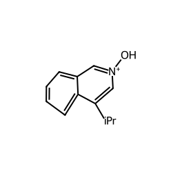 CC(C)c1c[n+](O)cc2ccccc12